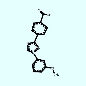 COc1cccc(-n2cnc(-c3ccc(C(=O)O)cc3)n2)c1